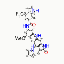 COc1cc(NC(=O)c2cc(C(F)(F)F)c3cc[nH]c3c2)cc(Nc2ccc3c(c2)NC(=O)C3=Cc2ccc[nH]2)c1